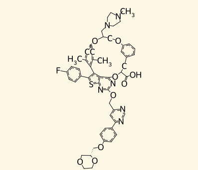 Cc1cc2cc(C)c1-c1c(-c3ccc(F)cc3)sc3nc(OCc4cc(-c5ccc(OC[C@H]6COCCO6)cc5)ncn4)nc(c13)OC(C(=O)O)Cc1cccc(c1)OCC(CN1CCN(C)CC1)O2